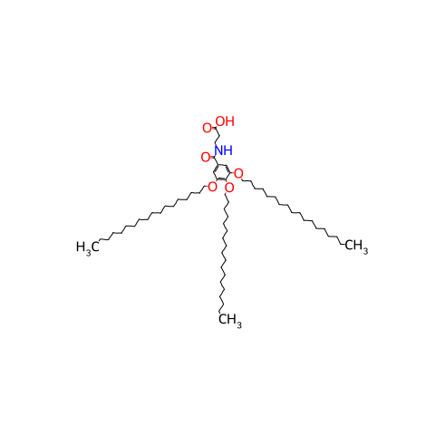 CCCCCCCCCCCCCCCCCCOc1cc(C(=O)NCCC(=O)O)cc(OCCCCCCCCCCCCCCCCCC)c1OCCCCCCCCCCCCCCCCCC